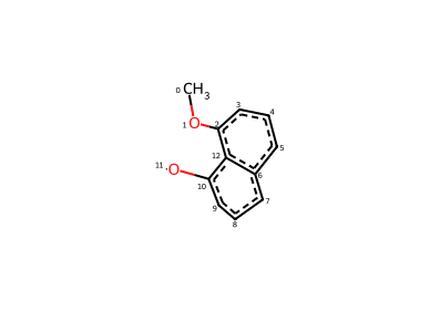 COc1cccc2cccc([O])c12